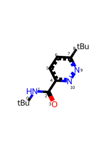 CC(C)(C)NC(=O)c1ccc(C(C)(C)C)nn1